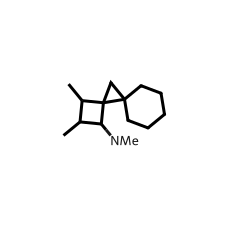 CNC1C(C)C(C)C12CC21CCCCC1